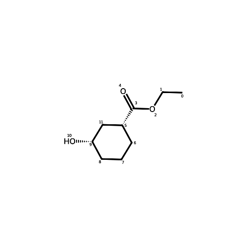 CCOC(=O)[C@@H]1CCC[C@H](O)C1